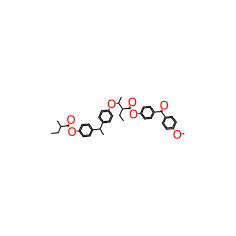 CCC(C)C(=O)Oc1ccc(C(C)c2ccc(OC(C)C(CC)C(=O)Oc3ccc(C(=O)c4ccc(OC)cc4)cc3)cc2)cc1